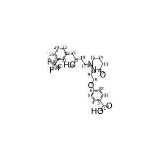 O=C(O)c1ccc(OCCN2C(=O)CCCN2CCC(O)Cc2cccc(C(F)(F)F)c2)cc1